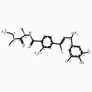 C[C@@H](NC(=O)c1ccc(/C(F)=C/C(c2cc(Cl)c(Cl)c(Cl)c2)C(F)(F)F)cc1C(F)(F)F)C(=O)N(C)CC(F)(F)F